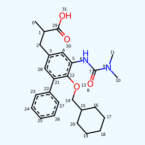 CC(Cc1cc(NC(=O)N(C)C)c(OCC2CCCCC2)c(-c2ccccc2)c1)C(=O)O